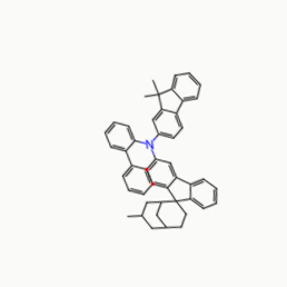 CC1CC2CCC3(c4ccccc4-c4cc(N(c5ccc6c(c5)C(C)(C)c5ccccc5-6)c5ccccc5-c5ccccc5)ccc43)C(C1)C2